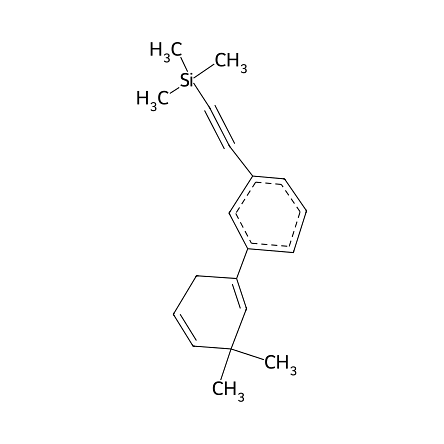 CC1(C)C=CCC(c2cccc(C#C[Si](C)(C)C)c2)=C1